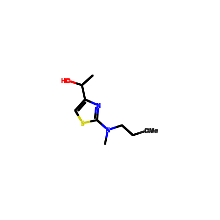 COCCN(C)c1nc(C(C)O)cs1